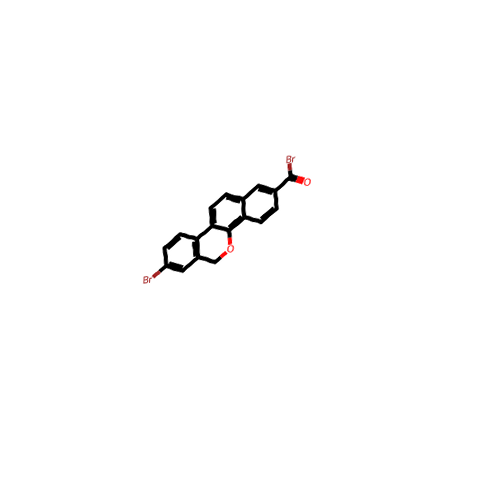 O=C(Br)c1ccc2c3c(ccc2c1)-c1ccc(Br)cc1CO3